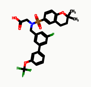 CC1(C)CCc2cc(S(=O)(=O)N(CC(=O)O)Cc3cc(F)cc(-c4cccc(OC(F)(F)F)c4)c3)ccc2O1